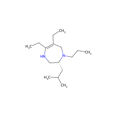 CCCN1CC(CC)=C(CC)NC[C@H]1CC(C)C